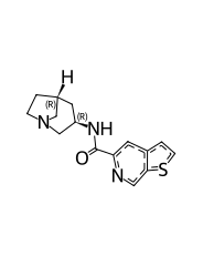 O=C(N[C@@H]1C[C@H]2CCN(C2)C1)c1cc2ccsc2cn1